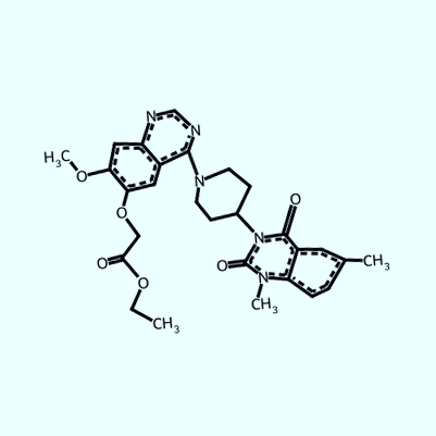 CCOC(=O)COc1cc2c(N3CCC(n4c(=O)c5cc(C)ccc5n(C)c4=O)CC3)ncnc2cc1OC